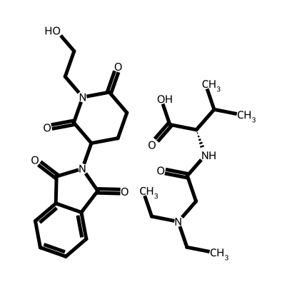 CCN(CC)CC(=O)N[C@H](C(=O)O)C(C)C.O=C1CCC(N2C(=O)c3ccccc3C2=O)C(=O)N1CCO